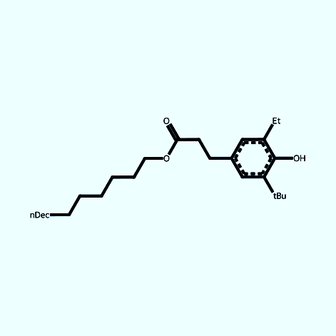 CCCCCCCCCCCCCCCCOC(=O)CCc1cc(CC)c(O)c(C(C)(C)C)c1